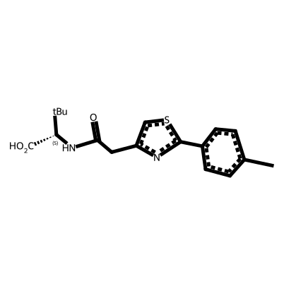 Cc1ccc(-c2nc(CC(=O)N[C@H](C(=O)O)C(C)(C)C)cs2)cc1